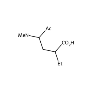 CCC(CC(NC)C(C)=O)C(=O)O